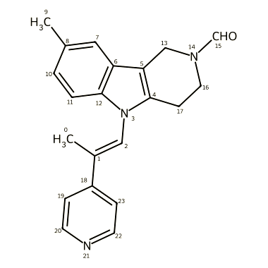 CC(=Cn1c2c(c3cc(C)ccc31)CN(C=O)CC2)c1ccncc1